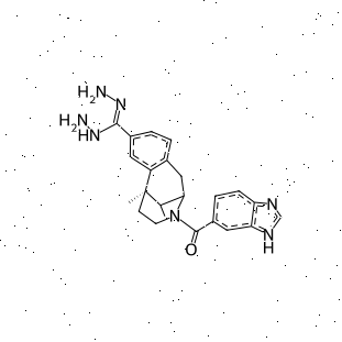 CC1C2Cc3ccc(/C(=N/N)NN)cc3[C@]1(C)CCN2C(=O)c1ccc2nc[nH]c2c1